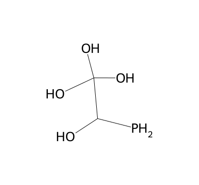 OC(P)C(O)(O)O